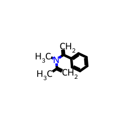 C=C(C)N(C)C(=C)c1ccccc1